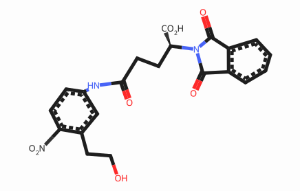 O=C(CC[C@@H](C(=O)O)N1C(=O)c2ccccc2C1=O)Nc1ccc([N+](=O)[O-])c(CCO)c1